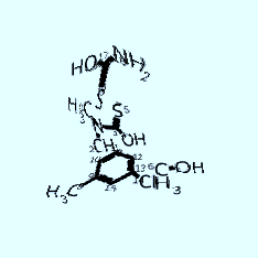 CN(C)C(O)=S.CO.Cc1cccc(Cl)c1.NC(O)=S